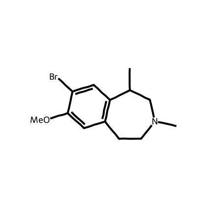 COc1cc2c(cc1Br)C(C)CN(C)CC2